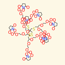 O=C(OCCOCC(CSCC(CSCC(COCCOC(=O)ON1C(=O)CCC1=O)OCCOC(=O)ON1C(=O)CCC1=O)(CSCC(COCCOC(=O)ON1C(=O)CCC1=O)OCCOC(=O)ON1C(=O)CCC1=O)CSCC(COCCOC(=O)ON1C(=O)CCC1=O)OCCOC(=O)ON1C(=O)CCC1=O)OCCOC(=O)ON1C(=O)CCC1=O)ON1C(=O)CCC1=O